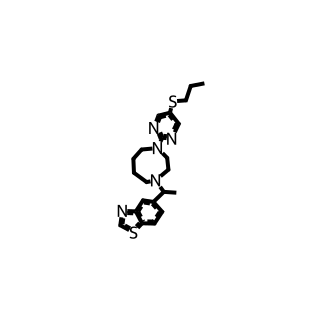 CCCSc1cnc(N2CCCCN(C(C)c3ccc4scnc4c3)CC2)nc1